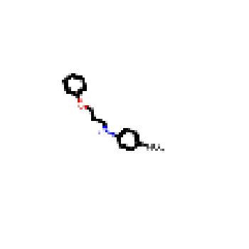 O=[N+]([O-])c1ccc(NCCCOc2ccccc2)cc1